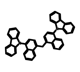 c1ccc2c(-n3c4ccccc4c4ccccc43)ccc(Cc3ccc(-n4c5ccccc5c5ccccc54)c4ccccc34)c2c1